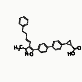 Cc1noc(-c2ccc(-c3ccc([C@H]4C[C@H]4C(=O)O)cc3)cc2)c1C=CCCc1ccccc1